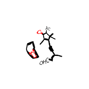 CC(=O)C1C(=O)C(C)=C(C#CC(C)=CC=O)C1(C)C.c1cc2ccc1o2